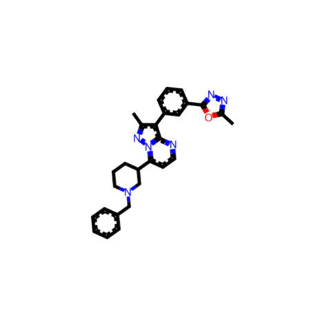 Cc1nnc(-c2cccc(-c3c(C)nn4c(C5CCCN(Cc6ccccc6)C5)ccnc34)c2)o1